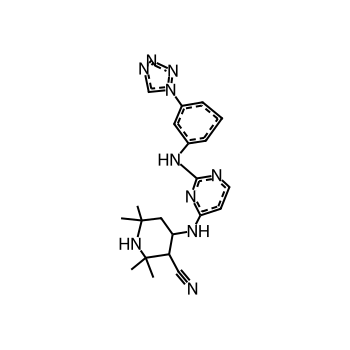 CC1(C)CC(Nc2ccnc(Nc3cccc(-n4cnnn4)c3)n2)C(C#N)C(C)(C)N1